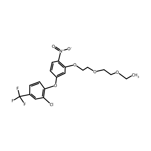 CCOCCOCCOc1cc(Oc2ccc(C(F)(F)F)cc2Cl)ccc1[N+](=O)[O-]